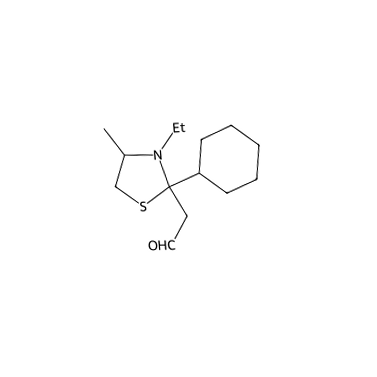 CCN1C(C)CSC1(CC=O)C1CCCCC1